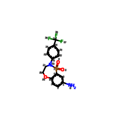 Nc1ccc2c(c1)S(=O)(=O)N(c1ccc(C(F)(F)F)cc1)CCO2